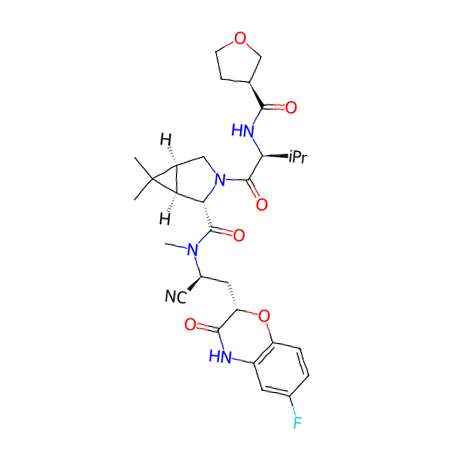 CC(C)[C@H](NC(=O)[C@H]1CCOC1)C(=O)N1C[C@H]2[C@@H]([C@H]1C(=O)N(C)[C@H](C#N)C[C@@H]1Oc3ccc(F)cc3NC1=O)C2(C)C